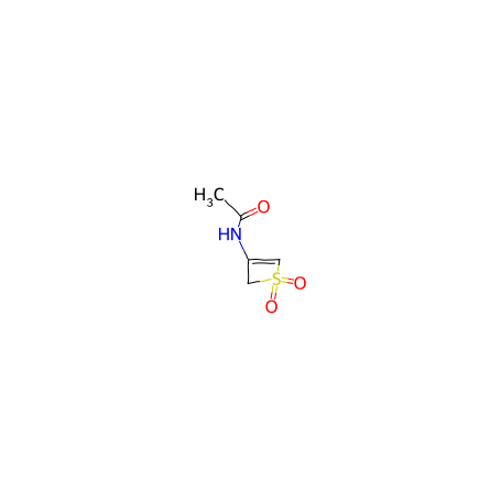 CC(=O)NC1=CS(=O)(=O)C1